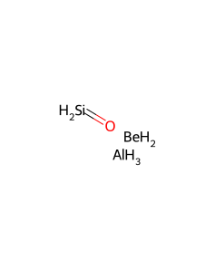 O=[SiH2].[AlH3].[BeH2]